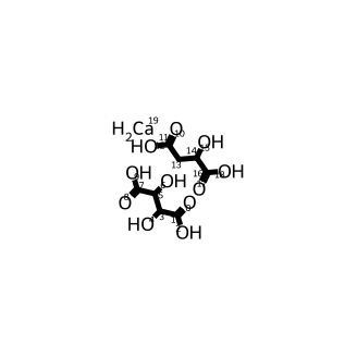 O=C(O)C(O)C(O)C(=O)O.O=C(O)CC(O)C(=O)O.[CaH2]